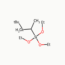 CCO[Si](OCC)(OCC)[CH](C)[GeH2][C](C)(C)C